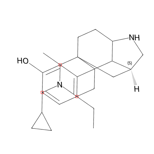 CCc1ccc(O)cc1C12CCN(CC3CC3)C(C)C13CCC1NC[C@@H](C3)C12